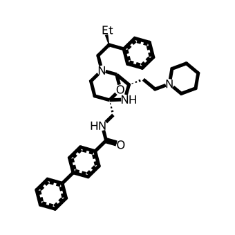 CC[C@H](CN1CC[C@]2(CNC(=O)c3ccc(-c4ccccc4)cc3)N[C@@H](CCN3CCCCC3)C1O2)c1ccccc1